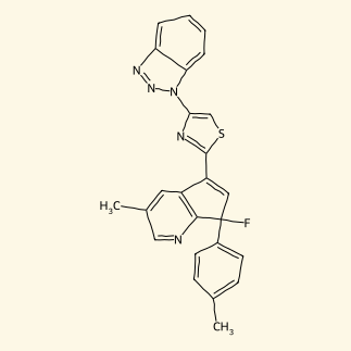 Cc1ccc(C2(F)C=C(c3nc(-n4nnc5ccccc54)cs3)c3cc(C)cnc32)cc1